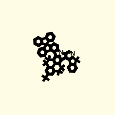 CC(C)(C)c1cc2c3c(c1)C(C)(C)C(C)(C)c1c-3c(c3c4c5c(ccc4n4c6cnc7c(c6c1c34)-c1ccccc1C7(C)C)C1(c3ccccc3-c3ccccc31)c1ccccc1-5)C(C)(C)C2(C)C